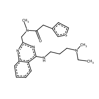 CCN(C)CCCNc1nc(CN(C)C(=O)Cc2ccsc2)nc2ccccc12